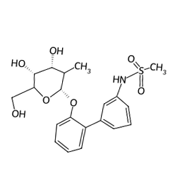 CC1[C@H](Oc2ccccc2-c2cccc(NS(C)(=O)=O)c2)OC(CO)[C@H](O)[C@@H]1O